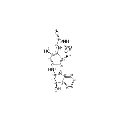 O=C1CN(c2c(O)cc(Nc3nc(O)c4ccccc4n3)cc2F)S(=O)(=O)N1